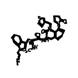 O=C(O)N[C@H](Cc1cn(CCF)c2ccccc12)C(=O)NC1Cc2cccc(N3CCCC3=O)c2N(Cc2ccsc2)C1=O